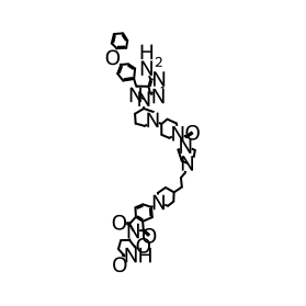 Nc1ncnc2c1c(-c1ccc(Oc3ccccc3)cc1)nn2C1CCCN(C2CCN(C(=O)N3CCN(CCCC4CCN(c5ccc6c(c5)C(=O)N(C5CCC(=O)NC5=O)C6=O)CC4)CC3)CC2)C1